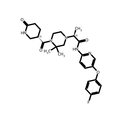 C[C@@H](C(=O)Nc1ccc(Oc2ccc(F)cc2)cn1)N1CCN(C(=O)[C@H]2CCC(=O)NC2)C(C)(C)C1